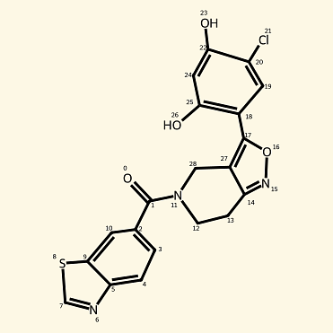 O=C(c1ccc2ncsc2c1)N1CCc2noc(-c3cc(Cl)c(O)cc3O)c2C1